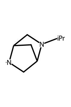 CC(C)N1CC2CC1C[N]2